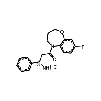 Cl.N[C@@H](CC(=O)N1CCCOc2cc(F)ccc21)c1ccccc1